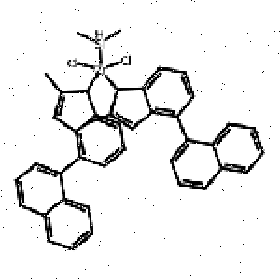 CC1=Cc2c(-c3cccc4ccccc34)cccc2[CH]1[Zr]([Cl])([Cl])([CH]1C(C)=Cc2c(-c3cccc4ccccc34)cccc21)[SiH](C)C